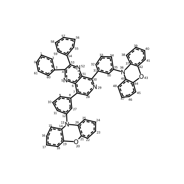 c1ccc(-c2nc3c(-c4cccc(N5c6ccccc6Oc6ccccc65)c4)cnc(-c4cccc(N5c6ccccc6Oc6ccccc65)c4)c3nc2-c2ccccc2)cc1